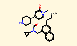 CC(=O)NCCc1cc(CN(C(=O)[C@@H]2CNCC[C@H]2c2ccn(C)c(=O)c2)C2CC2)c2ccccc2c1